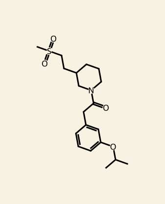 CC(C)Oc1cccc(CC(=O)N2CCCC(CCS(C)(=O)=O)C2)c1